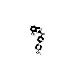 Cc1cccc2cnc(Nc3ccc(N4CCN(C)CC4)nc3)nc12